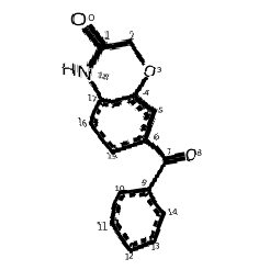 O=C1COc2cc(C(=O)c3ccccc3)ccc2N1